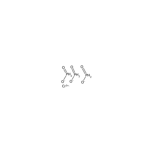 O=[PH2][O-].O=[PH2][O-].O=[PH2][O-].[Cr+3]